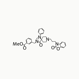 COC(=O)c1cccc(CN2CN(c3ccccc3)C3(CCN(CCCn4c(=O)oc5ccccc54)CC3)C2=O)c1